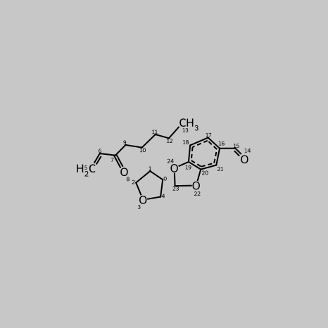 C1CCOC1.C=CC(=O)CCCCC.O=Cc1ccc2c(c1)OCO2